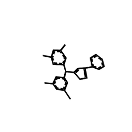 Cc1cc(C)cc(C(C2=CC(c3ccccc3)=CC2)c2cc(C)cc(C)c2)c1